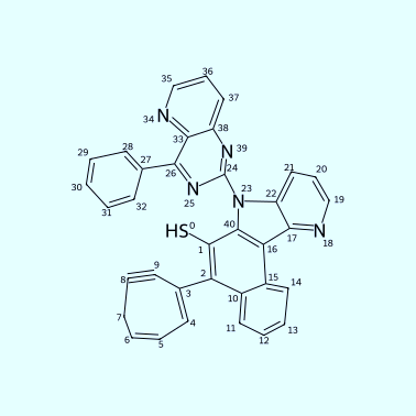 Sc1c(C2=CC=CCC#C2)c2ccccc2c2c3ncccc3n(-c3nc(-c4ccccc4)c4ncccc4n3)c12